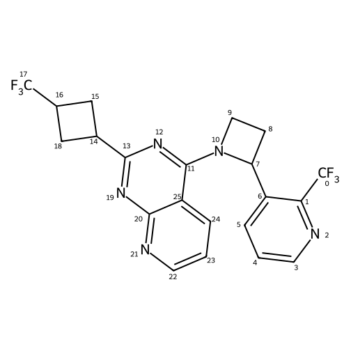 FC(F)(F)c1ncccc1C1CCN1c1nc(C2CC(C(F)(F)F)C2)nc2ncccc12